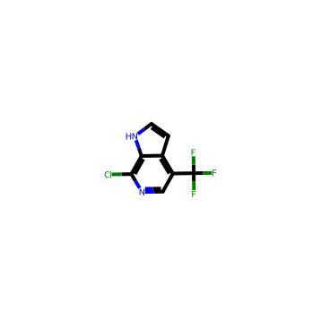 FC(F)(F)c1cnc(Cl)c2[nH]ccc12